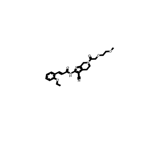 CCOc1ccccc1C=CC(=O)Nc1sc2c(c1C#N)CCN(C(=O)COCCOC)C2